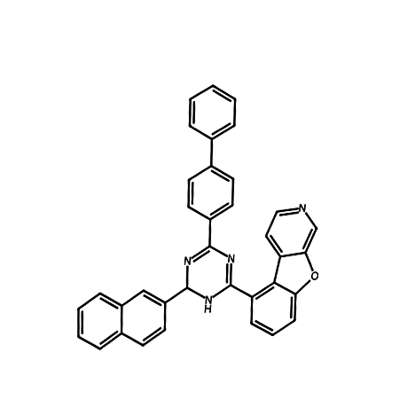 c1ccc(-c2ccc(C3=NC(c4ccc5ccccc5c4)NC(c4cccc5oc6cnccc6c45)=N3)cc2)cc1